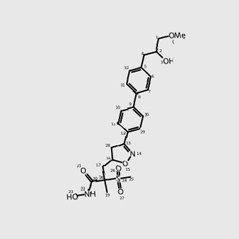 COCC(O)Cc1ccc(-c2ccc(C3=NOC(CC(C)(C(=O)NO)S(C)(=O)=O)C3)cc2)cc1